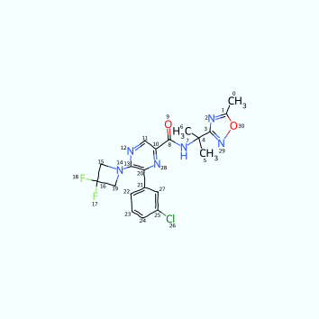 Cc1nc(C(C)(C)NC(=O)c2cnc(N3CC(F)(F)C3)c(-c3cccc(Cl)c3)n2)no1